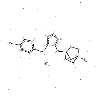 Cl.Fc1ccc(Sc2nsnc2O[C@]23CC[C@@H](CC2)C3)cc1